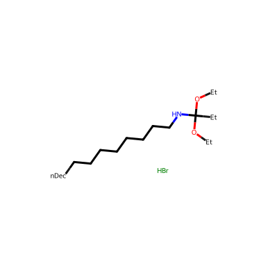 Br.CCCCCCCCCCCCCCCCCCNC(CC)(OCC)OCC